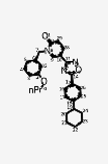 CCCOc1cccc(Cn2cc(-c3noc(-c4ccc(C5CCCCC5)cc4)n3)ccc2=O)c1